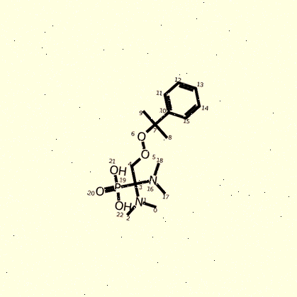 CN(C)C(COOC(C)(C)c1ccccc1)(N(C)C)P(=O)(O)O